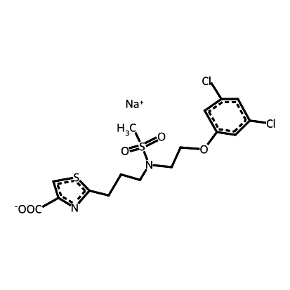 CS(=O)(=O)N(CCCc1nc(C(=O)[O-])cs1)CCOc1cc(Cl)cc(Cl)c1.[Na+]